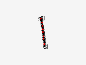 C[Si](C)(Cl)CCCCCCCCCCCCCCCCCCCCCCCCCCCCCCCCl